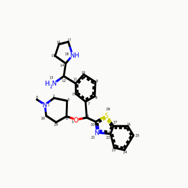 CN1CCC(OC(c2cccc(C(N)C3CCCN3)c2)c2nc3ccccc3s2)CC1